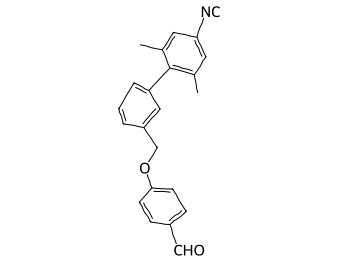 [C-]#[N+]c1cc(C)c(-c2cccc(COc3ccc(C=O)cc3)c2)c(C)c1